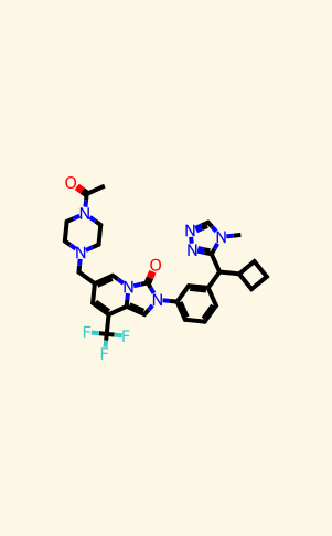 CC(=O)N1CCN(Cc2cc(C(F)(F)F)c3cn(-c4cccc(C(c5nncn5C)C5CCC5)c4)c(=O)n3c2)CC1